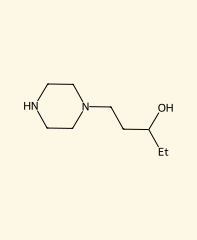 CCC(O)CCN1CCNCC1